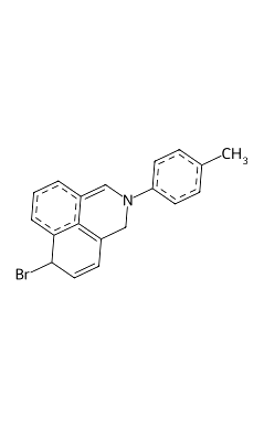 Cc1ccc(N2C=c3cccc4c3=C(C=CC4Br)C2)cc1